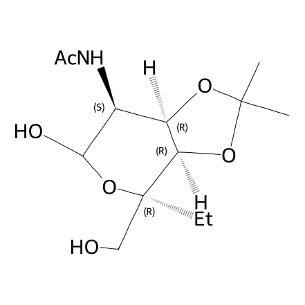 CC[C@]1(CO)OC(O)[C@@H](NC(C)=O)[C@H]2OC(C)(C)O[C@H]21